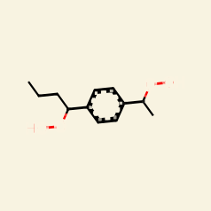 CCCC(OO)c1ccc(C(C)OO)cc1